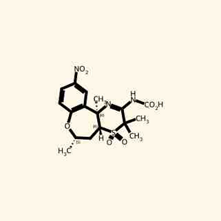 C[C@H]1C[C@@H]2[C@](C)(N=C(NC(=O)O)C(C)(C)S2(=O)=O)c2cc([N+](=O)[O-])ccc2O1